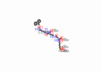 CCCCCCCCCCC(CCCCCC(=O)N[C@@H](CCC(=O)NCCCC[C@H](NC(=O)OC(C)(C)C)C(=O)NCCCC[C@H](NC(=O)OCC1c2ccccc2-c2ccccc21)C(=O)O)C(=O)OC(C)(C)C)P(=O)(OC(C)(C)C)OC(C)(C)C